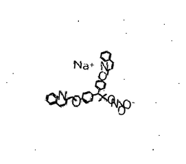 CC(C)(CON=CC(=O)[O-])C(c1ccc(OCc2ccc3ccccc3n2)cc1)c1ccc(OCc2ccc3ccccc3n2)cc1.[Na+]